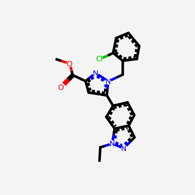 CCn1ncc2ccc(-c3cc(C(=O)OC)nn3Cc3ccccc3Cl)cc21